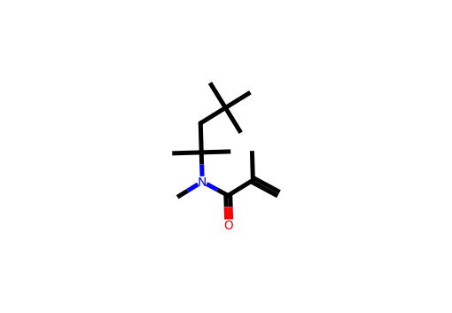 C=C(C)C(=O)N(C)C(C)(C)CC(C)(C)C